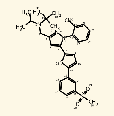 CC(C)N(Cc1cc(-c2ccc(-c3cccc(S(C)(=O)=O)c3)s2)n(-c2ccccc2Cl)n1)C(C)(C)C